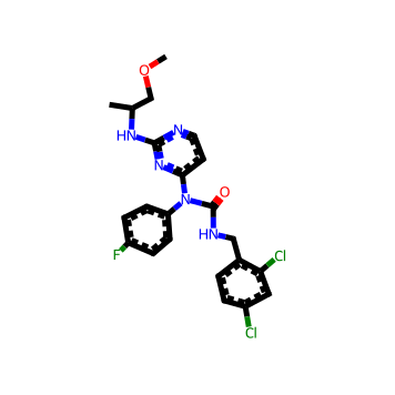 COCC(C)Nc1nccc(N(C(=O)NCc2ccc(Cl)cc2Cl)c2ccc(F)cc2)n1